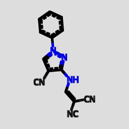 [C-]#[N+]/C(C#N)=C/Nc1nn(-c2ccccc2)cc1[N+]#[C-]